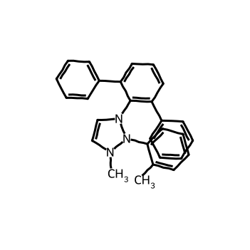 Cc1ccccc1N1N(C)C=CN1c1c(-c2ccccc2)cccc1-c1ccccc1